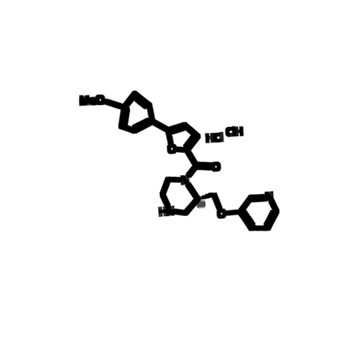 COc1ccc(-c2ccc(C(=O)N3CCNC[C@H]3COc3cccnc3)o2)cc1.Cl.Cl